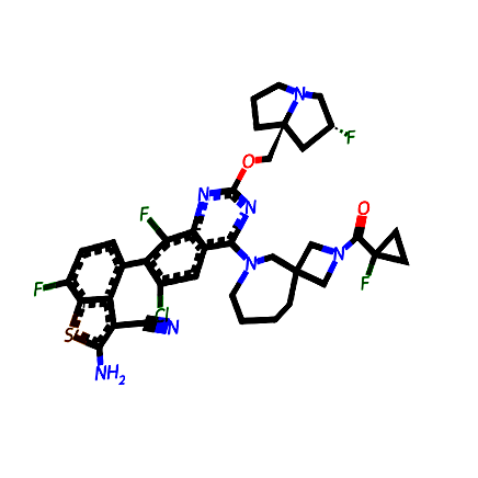 N#Cc1c(N)sc2c(F)ccc(-c3c(Cl)cc4c(N5CCCCC6(CN(C(=O)C7(F)CC7)C6)C5)nc(OC[C@@]56CCCN5C[C@H](F)C6)nc4c3F)c12